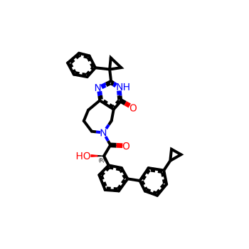 O=C([C@H](O)c1cccc(-c2cccc(C3CC3)c2)c1)N1CCCc2nc(C3(c4ccccc4)CC3)[nH]c(=O)c2C1